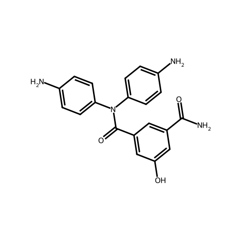 NC(=O)c1cc(O)cc(C(=O)N(c2ccc(N)cc2)c2ccc(N)cc2)c1